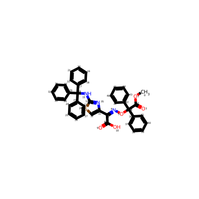 COC(=O)C(ON=C(C(=O)O)c1csc(NC(c2ccccc2)(c2ccccc2)c2ccccc2)n1)(c1ccccc1)c1ccccc1